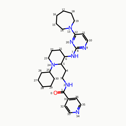 O=C(NCCC1C(Nc2nccc(N3CCCCCC3)n2)CCCN1C1CCCCC1)c1ccncc1